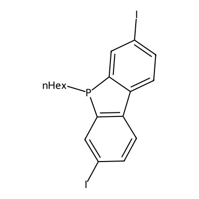 CCCCCCp1c2cc(I)ccc2c2ccc(I)cc21